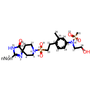 CCCCCCCCCC1=NC2(CCN(S(=O)(=O)CCc3ccc(N(CCO)S(C)(=O)=O)cc3C)CC2)C(=O)N1